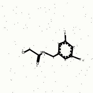 O=C(CCl)NCc1cc(F)cc(F)c1